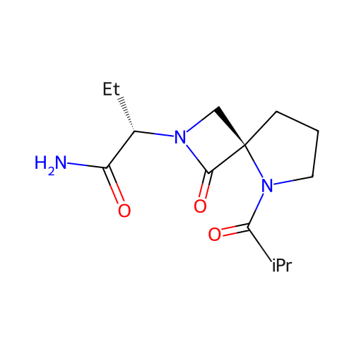 CC[C@@H](C(N)=O)N1C[C@]2(CCCN2C(=O)C(C)C)C1=O